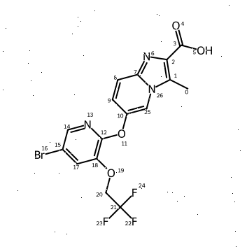 Cc1c(C(=O)O)nc2ccc(Oc3ncc(Br)cc3OCC(F)(F)F)cn12